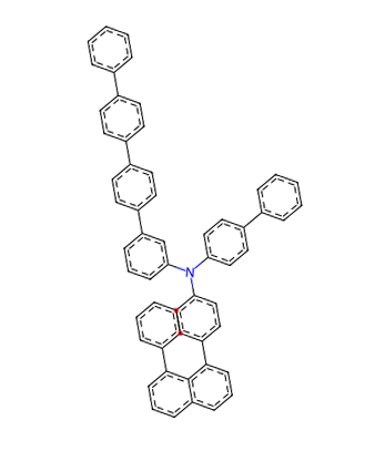 c1ccc(-c2ccc(-c3ccc(-c4cccc(N(c5ccc(-c6ccccc6)cc5)c5ccc(-c6cccc7cccc(-c8ccccc8)c67)cc5)c4)cc3)cc2)cc1